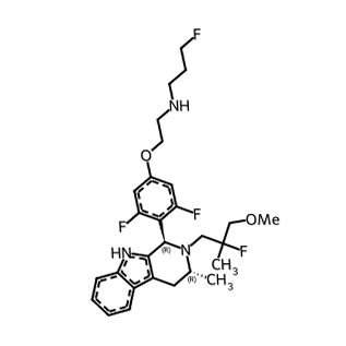 COCC(C)(F)CN1[C@H](c2c(F)cc(OCCNCCCF)cc2F)c2[nH]c3ccccc3c2C[C@H]1C